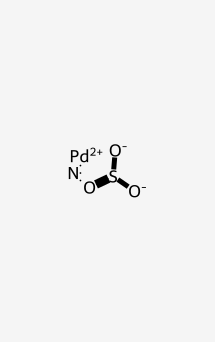 O=S([O-])[O-].[N].[Pd+2]